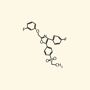 CCS(=O)(=O)c1ccc(-c2oc(COc3cccc(F)c3)nc2-c2ccc(F)cc2)cc1